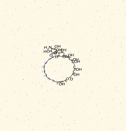 C[C@@H]1[C@H](O)[C@@H](C)/C=C/C=C/C=C/C=C/C=C/C=C/C=C/[C@H](O[C@H]2O[C@@H](C)[C@H](O)[C@@H](N)[C@H]2O)C[C@@H]2C[C@](O)(C[C@@H](O)C[C@@H](O)[C@H](O)CC[C@@H](O)C[C@@H](O)CC(=O)O[C@H]1C)C[C@H](O)[C@H]2C(=O)O